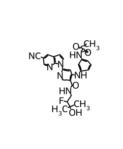 CC(C)(O)C(F)CNC(=O)c1cnc(-n2ccc3cc(C#N)cnc32)cc1Nc1cccc(NS(C)(=O)=O)c1